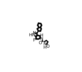 O=C1CC[C@H](C(=O)Nc2cc(F)c3[nH]nc(-c4ccc5ccccc5c4)c3c2)N1